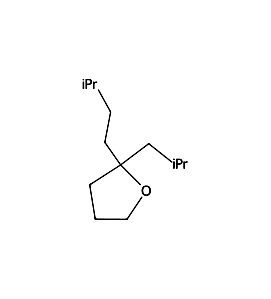 CC(C)CCC1(CC(C)C)CCCO1